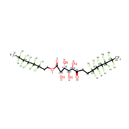 O=C(OCCC(F)(F)C(F)(F)C(F)(F)C(F)(F)C(F)(F)C(F)(F)F)[C@@H](O)[C@H](O)[C@H](O)[C@@H](O)C(=O)CCC(F)(F)C(F)(F)C(F)(F)C(F)(F)C(F)(F)C(F)(F)F